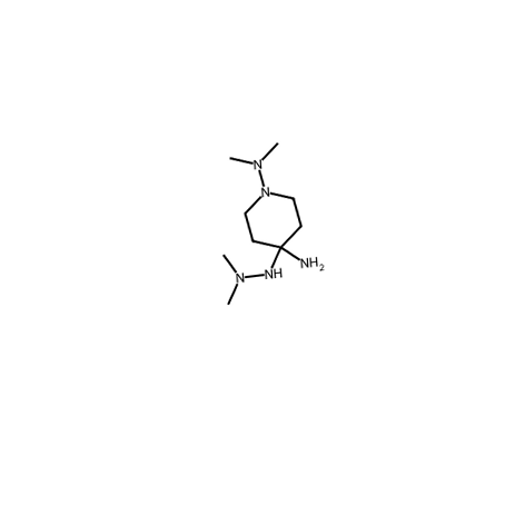 CN(C)NC1(N)CCN(N(C)C)CC1